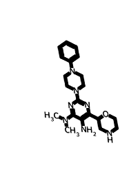 CN(C)c1nc(N2CCN(c3ccccc3)CC2)nc(C2CNCCO2)c1N